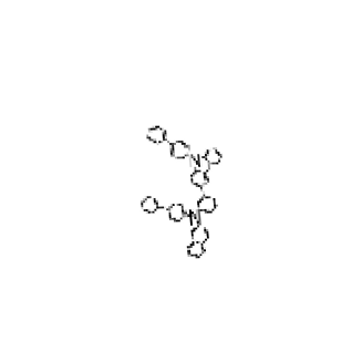 c1ccc(-c2ccc(N(c3cccc(-c4ccc5c(c4)c4ccccc4n5-c4ccc(-c5ccccc5)cc4)c3)c3ccc4ccccc4c3)cc2)cc1